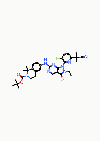 CCn1c(=O)c2cnc(Nc3ccc4c(c3)CCN(C(=O)OC(C)(C)C)C4(C)C)nc2n1-c1nc(C(C)(C)C#N)ccc1F